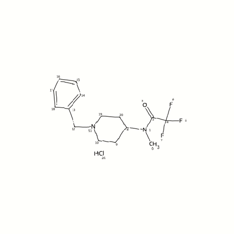 CN(C(=O)C(F)(F)F)C1CCN(Cc2ccccc2)CC1.Cl